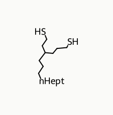 CCCCCCCCCCC(CCS)CCCS